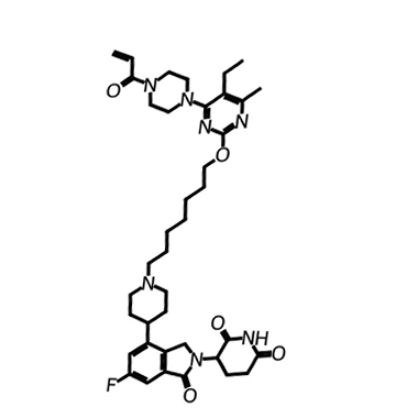 C=CC(=O)N1CCN(c2nc(OCCCCCCCN3CCC(c4cc(F)cc5c4CN(C4CCC(=O)NC4=O)C5=O)CC3)nc(C)c2CC)CC1